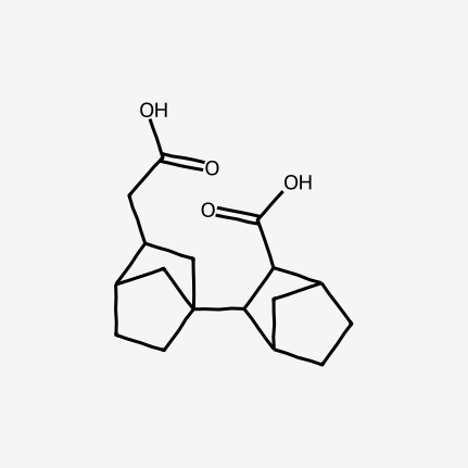 O=C(O)CC1CC2(C3C4CCC(C4)C3C(=O)O)CCC1C2